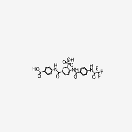 O=C(Nc1ccc(C(=O)O)cc1)C1=CC=C(NC(=O)c2ccc(NC(=O)C(F)(F)F)cc2)C(S(=O)(=O)O)C1